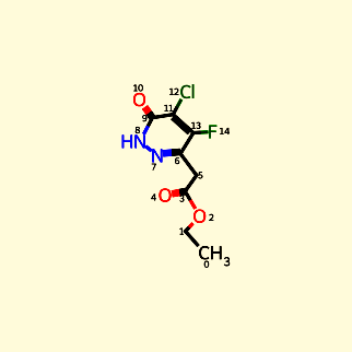 CCOC(=O)Cc1n[nH]c(=O)c(Cl)c1F